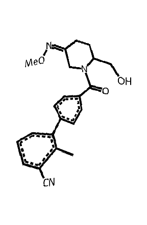 CO/N=C1/CCC(CO)N(C(=O)c2ccc(-c3cccc(C#N)c3C)cc2)C1